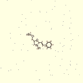 CCCCOCC1CN(C(C)C)C(/C=C/c2ccccc2)O1